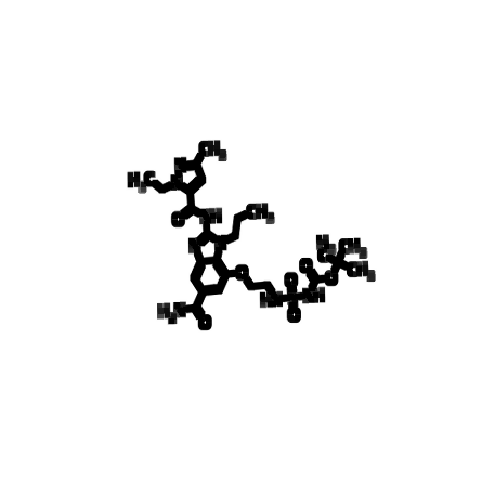 CCCn1c(NC(=O)c2cc(C)nn2CC)nc2cc(C(N)=O)cc(OCCNS(=O)(=O)NC(=O)OC(C)(C)C)c21